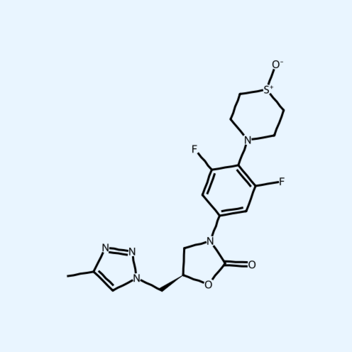 Cc1cn(C[C@H]2CN(c3cc(F)c(N4CC[S+]([O-])CC4)c(F)c3)C(=O)O2)nn1